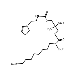 CCCCCCCCCCCCCCCCCCN(C)C(=O)OCC(C)(COC(=O)NCCN1C=CSC1)OC.I